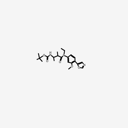 CCN(C(=O)C(C)C(C)NC(=O)OC(C)(C)C)c1ccc(-c2cnco2)c(OC)c1